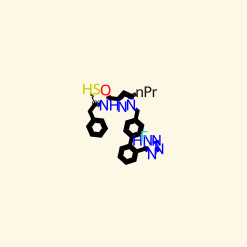 CCCc1cc(C(=O)N[C@@H](CS)Cc2ccccc2)nn1Cc1ccc(-c2ccccc2-c2nnn[nH]2)c(F)c1